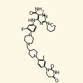 Cc1cc(N2CCC(=O)NC2=O)ccc1N1CCC(CN2CCN(c3ccc(Nc4nc(N5CCCCC5)nnc4C(N)=O)cc3F)CC2)CC1